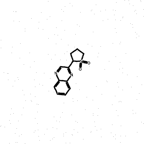 O=S1(=O)CCC[C]1c1cnc2ccccc2n1